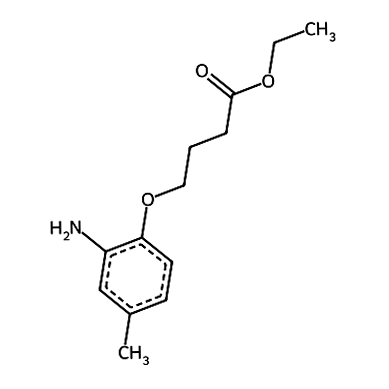 CCOC(=O)CCCOc1ccc(C)cc1N